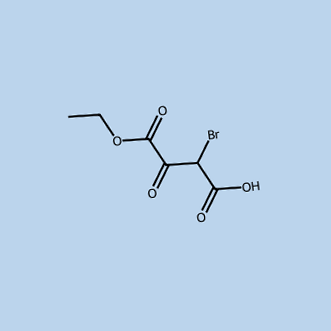 CCOC(=O)C(=O)C(Br)C(=O)O